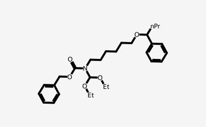 CCCC(OCCCCCCN(C(=O)OCc1ccccc1)C(OCC)OCC)c1ccccc1